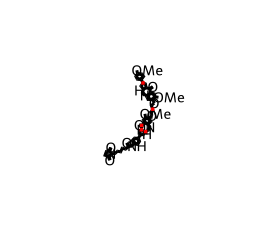 COc1ccc(C2=CC3C(=O)c4cc(OC)c(OCCCOc5cc6c(cc5OC)C(=O)N5C=C(c7ccc(NC(=O)CCCCCN8C(=O)C=CC8=O)cc7)C[C@H]5C=N6)cc4N=C[C@@H]3C2)cc1